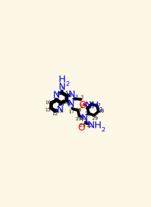 NOCc1nc2c(N)nc3cccnc3c2n1CCCN(C(N)=O)C1CCCCC1